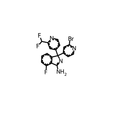 NC1=NC(c2ccnc(Br)c2)(c2ccnc(C(F)F)c2)c2cccc(F)c21